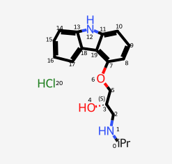 CC(C)NC[C@H](O)COc1cccc2[nH]c3ccccc3c12.Cl